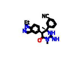 CCn1ncc2cc([C@@H]3C(=O)N(C)C(=N)N[C@]3(C)c3cccc(C#N)c3)ccc21